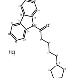 Cl.O=C(CCCCN1CCCC1)n1c2ccccc2c2ccccc21